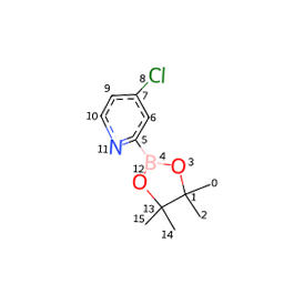 CC1(C)OB(c2cc(Cl)ccn2)OC1(C)C